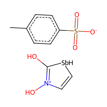 Cc1ccc(S(=O)(=O)[O-])cc1.O[C]1=[N+](O)C=[CH][SbH]1